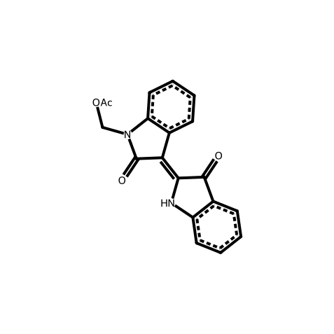 CC(=O)OCN1C(=O)/C(=C2\Nc3ccccc3C2=O)c2ccccc21